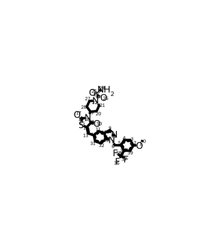 COc1ccc(Cn2ncc3cc(C=C4SC(=O)N(C5CCN(S(N)(=O)=O)CC5)C4=O)ccc32)c(C(F)(F)F)c1